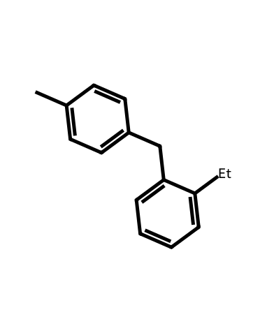 CCc1ccccc1Cc1ccc(C)cc1